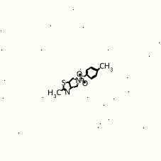 CC1=NC2CN(S(=O)(=O)c3ccc(C)cc3)CC2S1